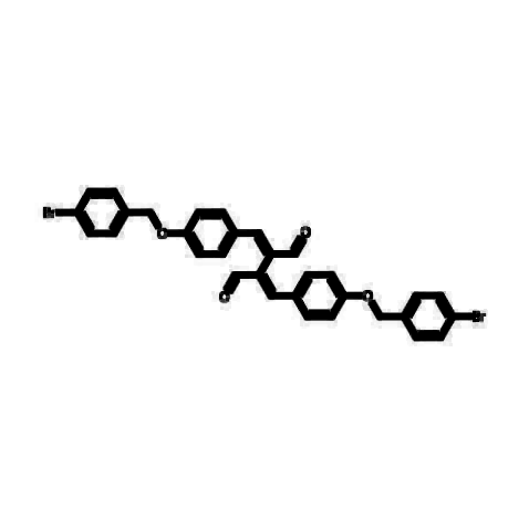 O=CC(=C/c1ccc(OCc2ccc(Br)cc2)cc1)/C(C=O)=C\c1ccc(OCc2ccc(Br)cc2)cc1